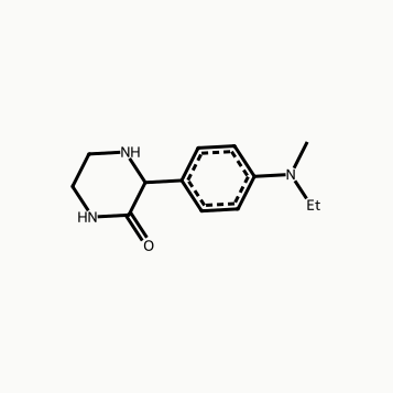 CCN(C)c1ccc(C2NCCNC2=O)cc1